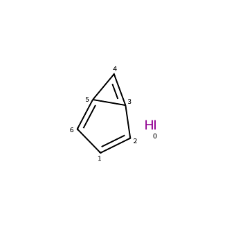 I.c1cc2cc-2c1